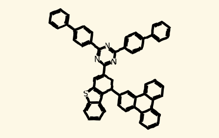 C1=C(c2nc(-c3ccc(-c4ccccc4)cc3)nc(-c3ccc(-c4ccccc4)cc3)n2)CC(c2ccc3c4ccccc4c4ccccc4c3c2)c2c1sc1ccccc21